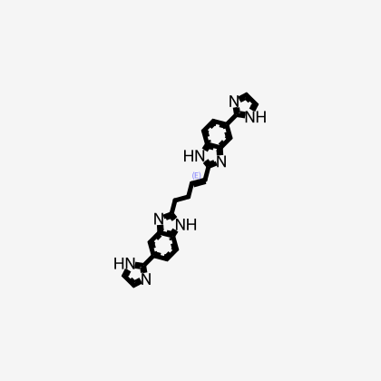 C(=C\c1nc2cc(-c3ncc[nH]3)ccc2[nH]1)/CCc1nc2cc(-c3ncc[nH]3)ccc2[nH]1